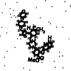 COC(=O)c1ccc(N2CCN(CC3=C(c4cc(CN5CCC(N6CCOCC6)CC5)cs4)CC(C)(C)CC3)CC2)cc1Oc1cnc2[nH]ccc2c1